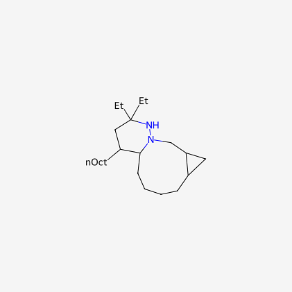 CCCCCCCCC1CC(CC)(CC)NN2CC3CC3CCCCC12